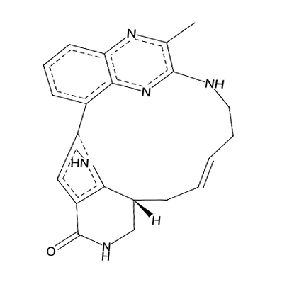 Cc1nc2cccc3c2nc1NCC/C=C/C[C@@H]1CNC(=O)c2cc-3[nH]c21